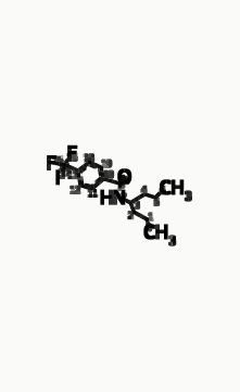 CCCC(CCC)NC(=O)c1ccc(C(F)(F)F)cc1